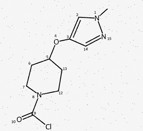 Cn1cc(OC2CCN(C(=O)Cl)CC2)cn1